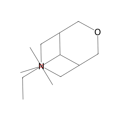 CCC(C)(C)C1C2COCC1CN(C)C2